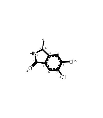 C[C@@H]1NC(=O)c2cc(Cl)c(Cl)cc21